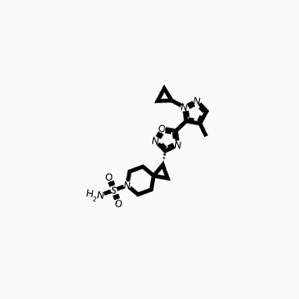 Cc1cnn(C2CC2)c1-c1nc([C@@H]2CC23CCN(S(N)(=O)=O)CC3)no1